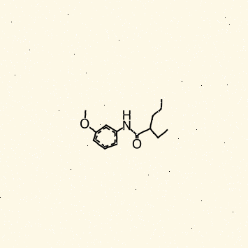 CCCC(CC)C(=O)Nc1cccc(OC)c1